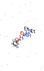 CCN(CC)CCNC(=O)CCCOc1cc[c]cc1